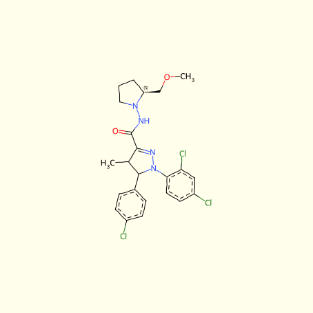 COC[C@@H]1CCCN1NC(=O)C1=NN(c2ccc(Cl)cc2Cl)C(c2ccc(Cl)cc2)C1C